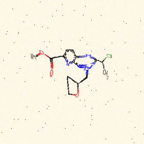 CC(C)OC(=O)c1ccc2nc(C(C)Cl)n(C[C@@H]3CCO3)c2n1